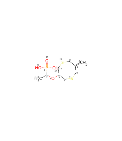 C=C1CSCC(OC(C)P(=O)(O)O)CSC1